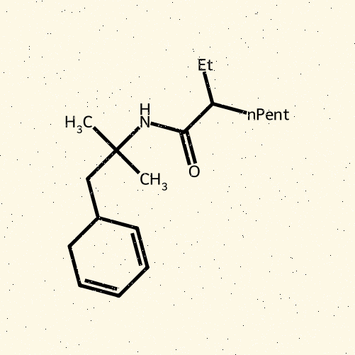 CCCCCC(CC)C(=O)NC(C)(C)CC1C=CC=CC1